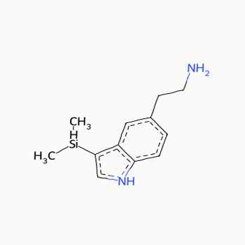 C[SiH](C)c1c[nH]c2ccc(CCN)cc12